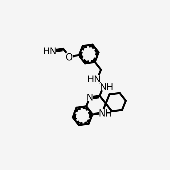 N=COc1cccc(CNNC2=Nc3ccccc3NC23CCCCC3)c1